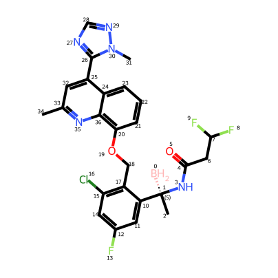 B[C@@](C)(NC(=O)CC(F)F)c1cc(F)cc(Cl)c1COc1cccc2c(-c3ncnn3C)cc(C)nc12